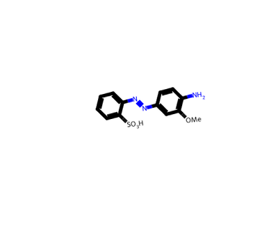 COc1cc(/N=N/c2ccccc2S(=O)(=O)O)ccc1N